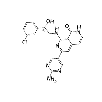 Nc1ncc(-c2cc3cc[nH]c(=O)c3c(NC[C@@H](O)c3cccc(Cl)c3)n2)cn1